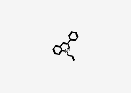 C=CC[n+]1cc(-c2ccccc2)cc2ccccc21